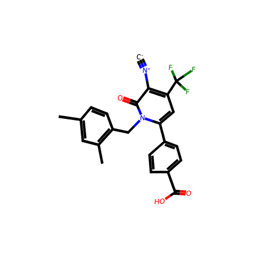 [C-]#[N+]c1c(C(F)(F)F)cc(-c2ccc(C(=O)O)cc2)n(Cc2ccc(C)cc2C)c1=O